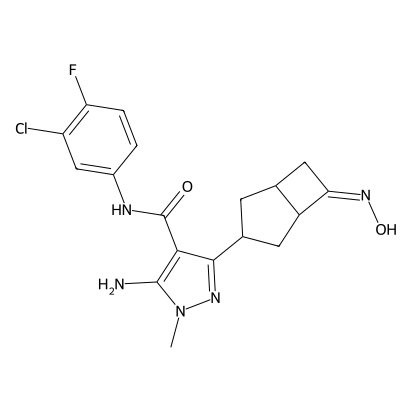 Cn1nc(C2CC3CC(=NO)C3C2)c(C(=O)Nc2ccc(F)c(Cl)c2)c1N